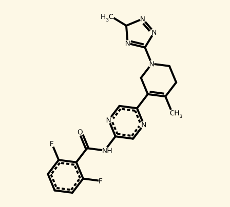 CC1=C(c2cnc(NC(=O)c3c(F)cccc3F)cn2)CN(C2=NC(C)N=N2)CC1